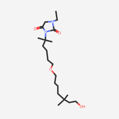 CCN1CC(=O)N(C(C)(C)CCCCOCCCCC(C)(C)CCO)C1=O